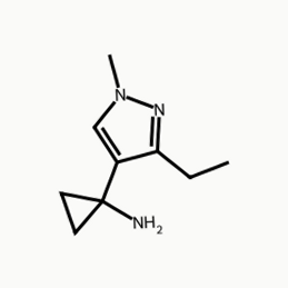 CCc1nn(C)cc1C1(N)CC1